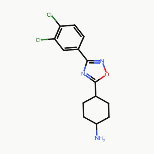 NC1CCC(c2nc(-c3ccc(Cl)c(Cl)c3)no2)CC1